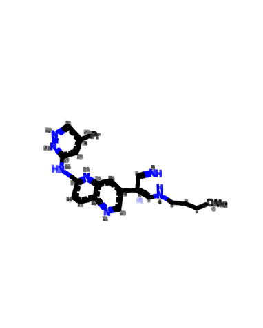 COCCCN/C=C(\C=N)c1cnc2ccc(Nc3cc(C(C)C)cnn3)nc2c1